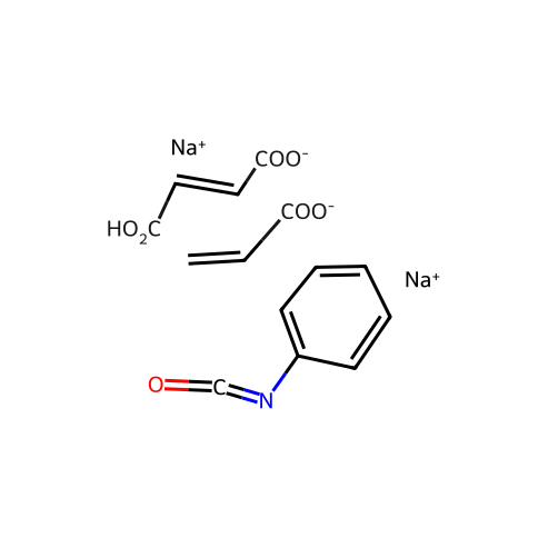 C=CC(=O)[O-].O=C([O-])C=CC(=O)O.O=C=Nc1ccccc1.[Na+].[Na+]